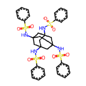 O=S(=O)(NC12CC3(NS(=O)(=O)c4ccccc4)CC(NS(=O)(=O)c4ccccc4)(C1)CC(NS(=O)(=O)c1ccccc1)(C2)C3)c1ccccc1